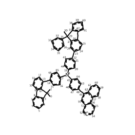 CC1(C)c2ccccc2-c2cccc(-c3ccc(N(c4ccc(-c5ccc6c(c5)C(C)(c5ccccc5)c5ccccc5-6)cc4)c4ccc(-c5cc6ccccc6c6ccccc56)cc4)cc3)c21